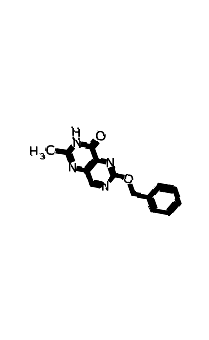 Cc1nc2cnc(OCc3ccccc3)nc2c(=O)[nH]1